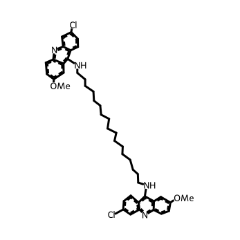 COc1ccc2nc3cc(Cl)ccc3c(NCCCCCCCCCCCCCCCCCNc3c4ccc(Cl)cc4nc4ccc(OC)cc34)c2c1